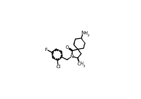 CC1CC2(CCC(N)CC2)C(=O)N1Cc1ccc(F)cc1Cl